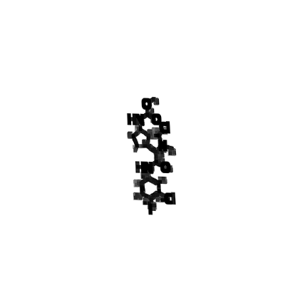 COC(=O)NC1CCc2c1c(Cl)n(C)c2C(=O)Nc1ccc(F)c(Cl)c1